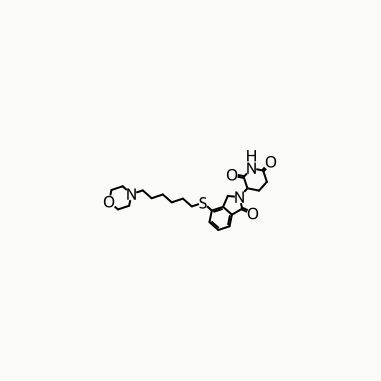 O=C1CCC(N2Cc3c(SCCCCCCN4CCOCC4)cccc3C2=O)C(=O)N1